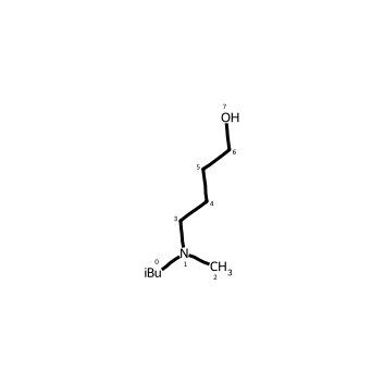 CCC(C)N(C)CCCCO